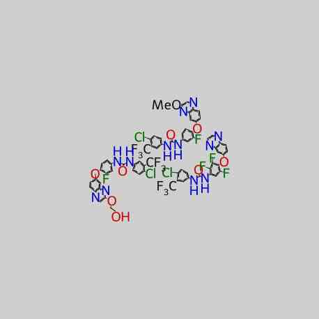 COc1cnc2ccc(Oc3ccc(NC(=O)Nc4ccc(Cl)c(C(F)(F)F)c4)cc3F)cc2n1.O=C(Nc1ccc(Cl)c(C(F)(F)F)c1)Nc1cc(F)c(Oc2ccc3nccnc3c2)c(F)c1F.O=C(Nc1ccc(Oc2ccc3ncc(OCCO)nc3c2)c(F)c1)Nc1ccc(Cl)c(C(F)(F)F)c1